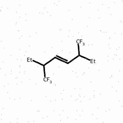 CCC(C=CC(CC)C(F)(F)F)C(F)(F)F